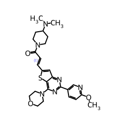 COc1ccc(-c2nc(N3CCOCC3)c3sc(/C=C/C(=O)N4CCC(N(C)C)CC4)cc3n2)cn1